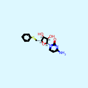 Nc1ccn([C@@H]2O[C@H](CSc3ccccc3)[C@@H](O)[C@H]2O)c(=O)n1